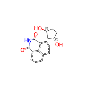 O=C1NC(=O)c2cccc3cccc1c23.O[C@H]1CC[C@H](O)C1